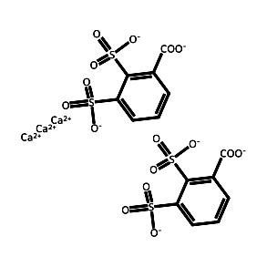 O=C([O-])c1cccc(S(=O)(=O)[O-])c1S(=O)(=O)[O-].O=C([O-])c1cccc(S(=O)(=O)[O-])c1S(=O)(=O)[O-].[Ca+2].[Ca+2].[Ca+2]